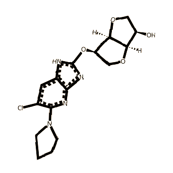 O[C@@H]1CO[C@H]2[C@@H]1OC[C@H]2Oc1nc2nc(N3CCCC3)c(Cl)cc2[nH]1